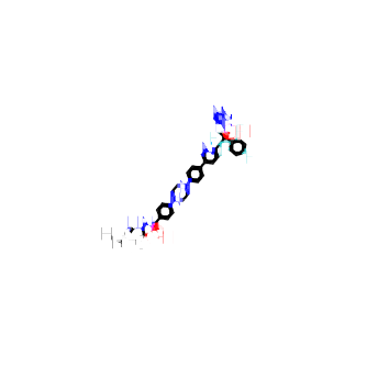 CC[C@H](NC(=O)c1ccc(N2CCN(c3ccc(-c4ccc(C(F)(F)C(O)(Cn5cnnn5)c5ccc(F)cc5F)nc4)cc3)CC2)cc1)[C@H](C)O